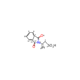 CC(C)C(CS(=O)(=O)O)N1C(=O)c2ccccc2C1=O